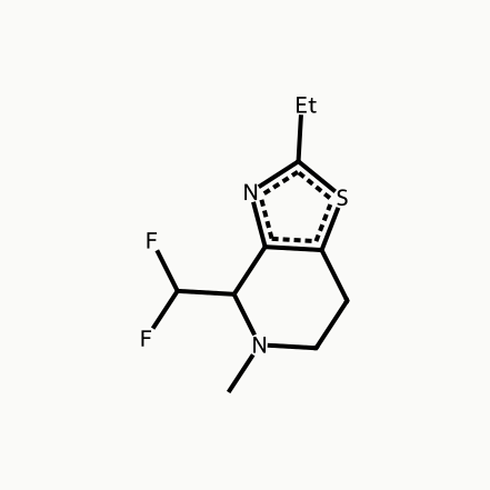 CCc1nc2c(s1)CCN(C)C2C(F)F